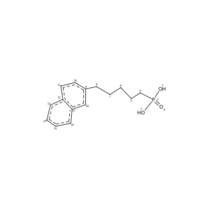 O=P(O)(O)CCCCCc1ccc2ccccc2c1